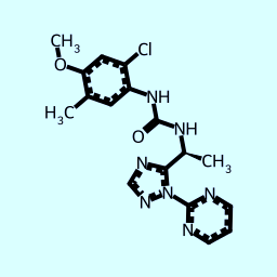 COc1cc(Cl)c(NC(=O)N[C@@H](C)c2ncnn2-c2ncccn2)cc1C